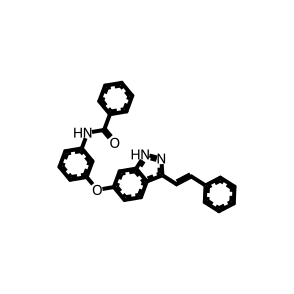 O=C(Nc1cccc(Oc2ccc3c(C=Cc4ccccc4)n[nH]c3c2)c1)c1ccccc1